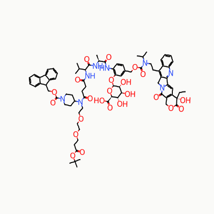 CC[C@@]1(O)C(=O)OCc2c1cc1n(c2=O)Cc2c-1nc1ccccc1c2CCN(C(=O)OCc1ccc(NC(=O)[C@H](C)NC(=O)[C@@H](NC(=O)CCC(=O)N(CCOCCOCCC(=O)OC(C)(C)C)C2CCN(C(=O)OCC3c4ccccc4-c4ccccc43)CC2)C(C)C)c(O[C@@H]2O[C@H](C(=O)O)[C@@H](O)[C@H](O)[C@H]2O)c1)C(C)C